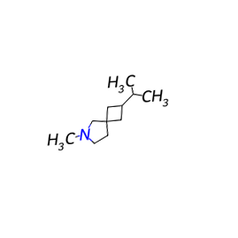 CC(C)C1CC2(CCN(C)C2)C1